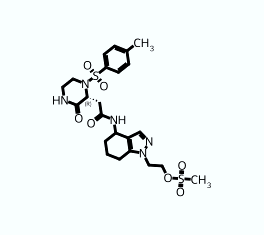 Cc1ccc(S(=O)(=O)N2CCNC(=O)[C@H]2CC(=O)NC2CCCc3c2cnn3CCOS(C)(=O)=O)cc1